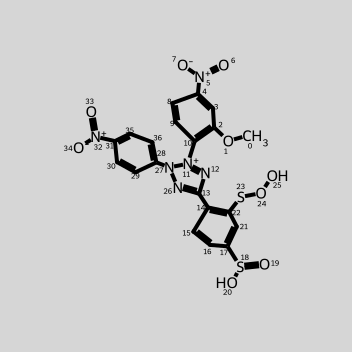 COc1cc([N+](=O)[O-])ccc1-[n+]1nc(-c2ccc(S(=O)O)cc2SOO)nn1-c1ccc([N+](=O)[O-])cc1